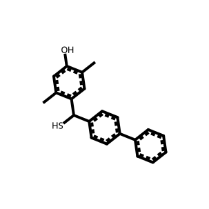 Cc1cc(C(S)c2ccc(-c3ccccc3)cc2)c(C)cc1O